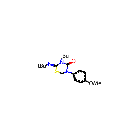 CCC(C)N1C(=O)N(c2ccc(OC)cc2)CS/C1=N\C(C)(C)C